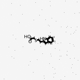 O=C(O)CSCCc1[c]c2ccccc2[nH]1